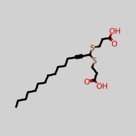 CCCCCCCCCCCCC#CC(SCCC(=O)O)SCCC(=O)O